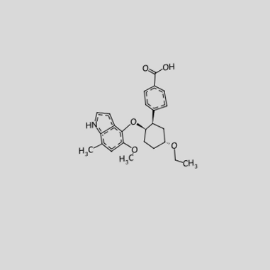 CCO[C@@H]1CC[C@@H](Oc2c(OC)cc(C)c3[nH]ccc23)[C@@H](c2ccc(C(=O)O)cc2)C1